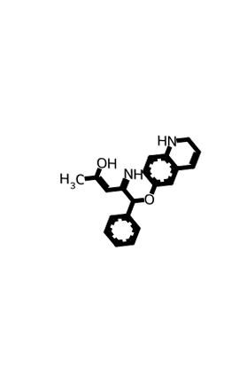 C/C(O)=C/C(=N)C(Oc1ccc2c(c1)C=CCN2)c1ccccc1